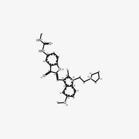 CNC(=O)Nc1ccc2c(c1)C(=O)/C(=C/c1c(C)n(CCN3CCCC3)c3ccc(OC)cc13)O2